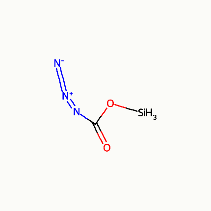 [N-]=[N+]=NC(=O)O[SiH3]